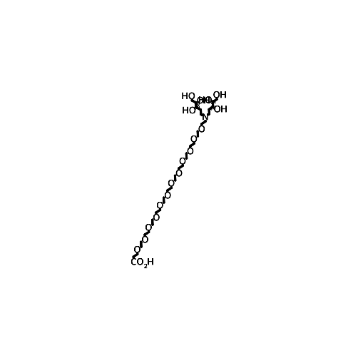 O=C(O)CCOCCOCCOCCOCCOCCOCCOCCOCCOCCOCCOCCOCCN(CC[C@@H](O)[C@@H](O)CO)CC[C@@H](O)[C@@H](O)CO